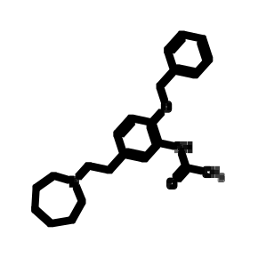 CC(=O)Nc1cc(CCN2CCCCCC2)ccc1OCc1ccccc1